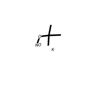 CC(C)(C)ON=O.[K]